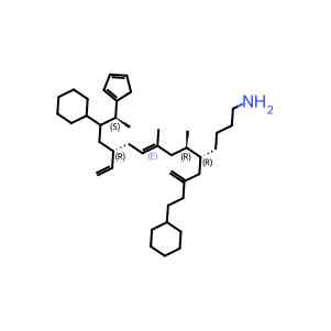 C=C[C@@H](C/C=C(\C)C[C@@H](C)[C@H](CCCCN)CC(=C)CCC1CCCCC1)CC(C1CCCCC1)[C@H](C)C1=CC=CC1